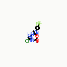 COC1CNc2nc(ncc2Cl)Nc2c(nn(C3CCC(C(F)(F)F)CC3)c2C)OC1